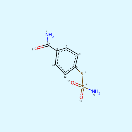 NC(=O)c1ccc(SS(N)(=O)=O)cc1